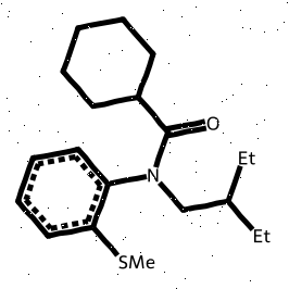 CCC(CC)CN(C(=O)C1CCCCC1)c1ccccc1SC